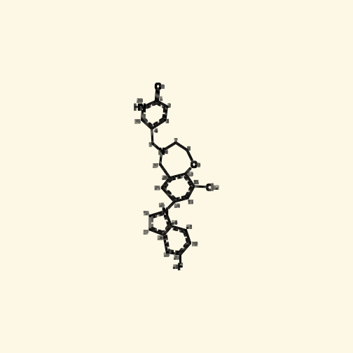 O=c1ccc(CN2CCOc3c(Cl)cc(-n4ccc5cc(F)ccc54)cc3C2)c[nH]1